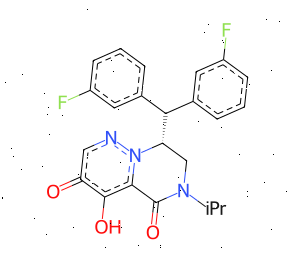 CC(C)N1C[C@@H](C(c2cccc(F)c2)c2cccc(F)c2)n2ncc(=O)c(O)c2C1=O